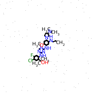 C=CCNc1cc(Nc2ncnc(Nc3cc(F)c(Cl)cc3C(C)(C)O)n2)c(OC)cc1N1CC[C@@H](N(C)C)C1